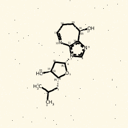 CC(C)C[C@H]1O[C@@H](n2cnc3c2N=CCC[C@H]3O)C[C@@H]1O